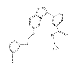 O=C(NC1CC1)c1cccc(-c2cnc3ccc(OCCc4cccc(Cl)c4)nn23)c1